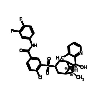 Cc1cccnc1[C@@H](O)[C@@]1(O)C2CC(S(=O)(=O)c3cc(C(=O)Nc4ccc(F)c(F)c4)ccc3Cl)CC1[C@@H](C)C2